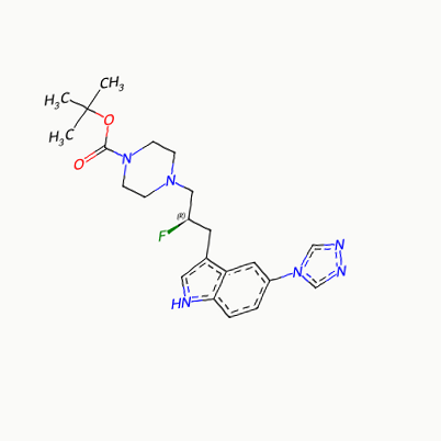 CC(C)(C)OC(=O)N1CCN(C[C@H](F)Cc2c[nH]c3ccc(-n4cnnc4)cc23)CC1